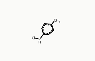 Cc1ccc(PCl)cc1